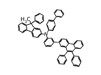 CC1(c2ccccc2)c2ccccc2-c2ccc(N(c3ccc(-c4ccccc4)cc3)c3cccc(-c4ccc5c(c4)c(-c4ccccc4)c(-c4ccccc4)c4ccccc45)c3)cc21